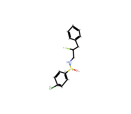 [O-][S+](NCC(F)Cc1ccccc1)c1ccc(Cl)cc1